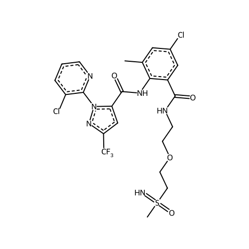 Cc1cc(Cl)cc(C(=O)NCCOCCS(C)(=N)=O)c1NC(=O)c1cc(C(F)(F)F)nn1-c1ncccc1Cl